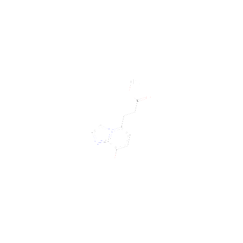 CC(C)(C)OC(=O)CCc1ccc(O)c2nccn12